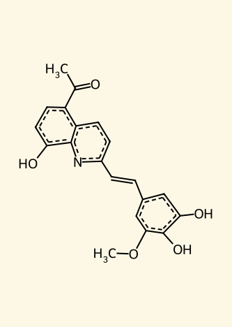 COc1cc(/C=C/c2ccc3c(C(C)=O)ccc(O)c3n2)cc(O)c1O